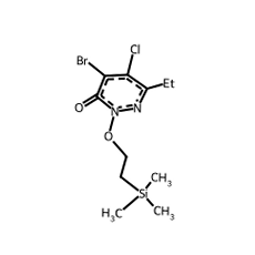 CCc1nn(OCC[Si](C)(C)C)c(=O)c(Br)c1Cl